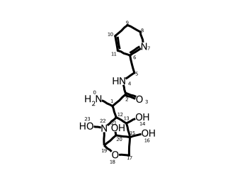 NC(C(=O)NCC1=NCCC=C1)C1C(O)C2(O)COC(C2O)N1O